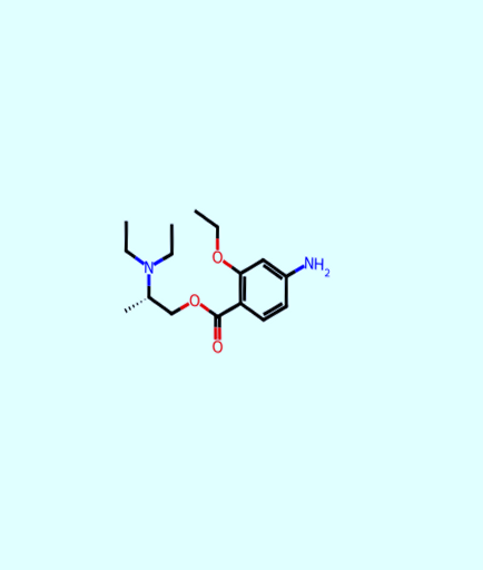 CCOc1cc(N)ccc1C(=O)OC[C@H](C)N(CC)CC